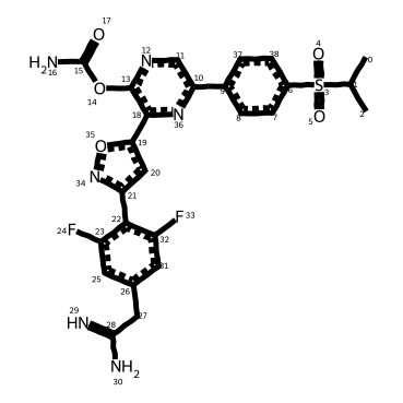 CC(C)S(=O)(=O)c1ccc(-c2cnc(OC(N)=O)c(-c3cc(-c4c(F)cc(CC(=N)N)cc4F)no3)n2)cc1